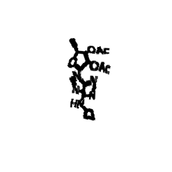 C#CC1OC(n2cnc3c(NC4CCC4)ncnc32)C(OC(C)=O)C1OC(C)=O